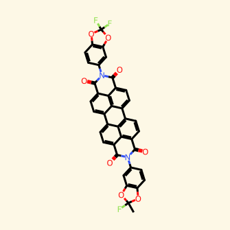 CC1(F)Oc2ccc(N3C(=O)c4ccc5c6ccc7c8c(ccc(c9ccc(c4c59)C3=O)c86)C(=O)N(c3ccc4c(c3)OC(F)(F)O4)C7=O)cc2O1